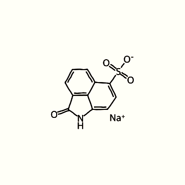 O=C1Nc2ccc(S(=O)(=O)[O-])c3cccc1c23.[Na+]